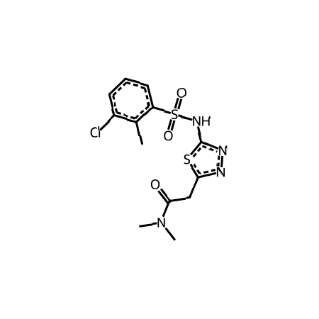 Cc1c(Cl)cccc1S(=O)(=O)Nc1nnc(CC(=O)N(C)C)s1